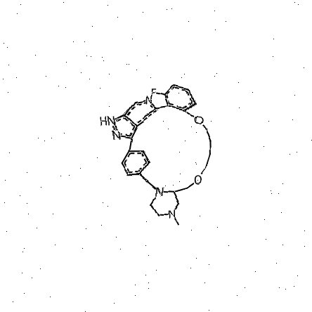 CN1CCN2c3ccc(cc3)-c3n[nH]c4cnc(cc34)-c3c(F)cccc3OCCCCOCC2C1